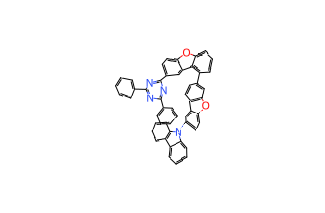 C1=Cc2c(c3ccccc3n2-c2ccc3oc4cc(-c5cccc6oc7ccc(-c8nc(-c9ccccc9)nc(-c9ccccc9)n8)cc7c56)ccc4c3c2)CC1